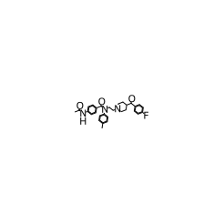 CC(=O)Nc1ccc(C(=O)N(CCN2CCC(C(=O)c3ccc(F)cc3)CC2)c2ccc(C)cc2)cc1